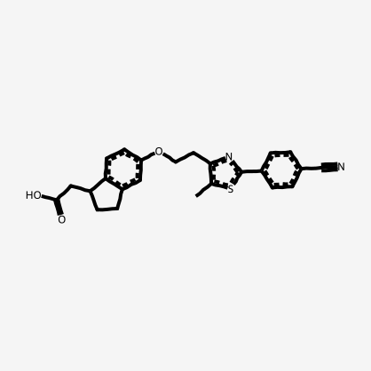 Cc1sc(-c2ccc(C#N)cc2)nc1CCOc1ccc2c(c1)CCC2CC(=O)O